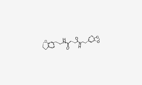 O=C(CCC(=O)NCCc1ccc2c(c1)OCO2)NCCc1ccc2c(c1)OCCC2